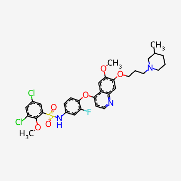 COc1cc2c(Oc3ccc(NS(=O)(=O)c4cc(Cl)cc(Cl)c4OC)cc3F)ccnc2cc1OCCCN1CCCC(C)C1